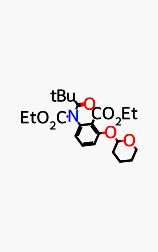 CCOC(=O)c1c(OC2CCCCO2)cccc1N(C(=O)OCC)C(=O)C(C)(C)C